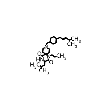 CCCN1C(=O)C(CC(C)C)NC(=O)C12CCN(CC1CC=C(C/C=C/C(C)C)CC1)CC2